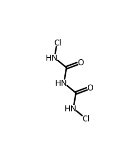 O=C(NCl)NC(=O)NCl